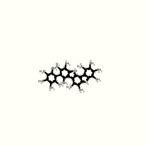 Bc1c(B)c(B)c(-c2c(B)c(B)c3[nH]c4c(c(B)c(B)c5oc6c(B)c(B)c(B)c(B)c6c54)c3c2B)c(B)c1B